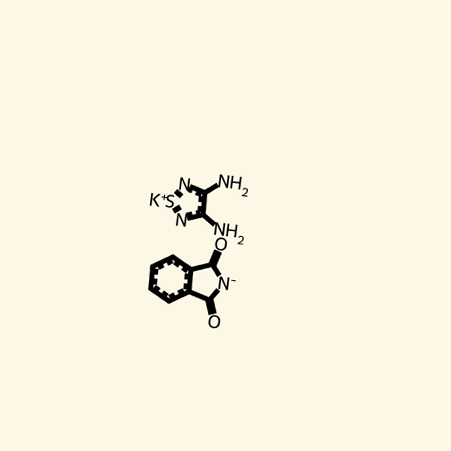 Nc1nsnc1N.O=C1[N-]C(=O)c2ccccc21.[K+]